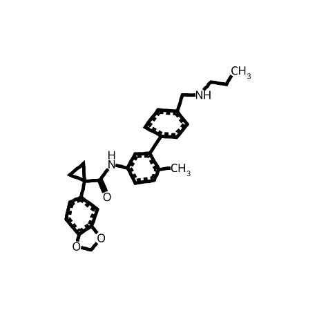 CCCNCc1ccc(-c2cc(NC(=O)C3(c4ccc5c(c4)OCO5)CC3)ccc2C)cc1